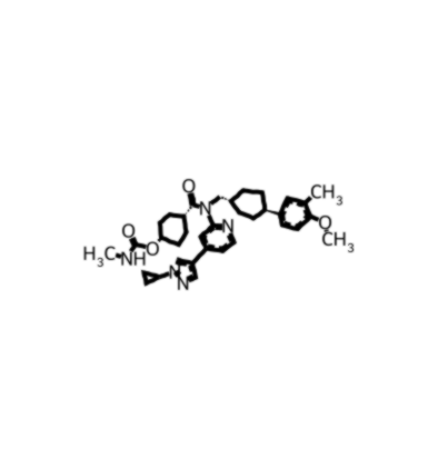 CNC(=O)O[C@H]1CC[C@H](C(=O)N(C[C@H]2CC[C@H](c3ccc(OC)c(C)c3)CC2)c2cc(-c3cnn(C4CC4)c3)ccn2)CC1